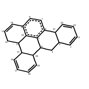 C1=CC2CC3c4c(ccc5c4C(CC=C5)C4C=CC=CC34)C2C=C1